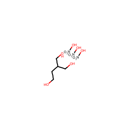 O=[N+]([O-])O.O=[N+]([O-])O.O=[N+]([O-])O.OCCC(CO)CO